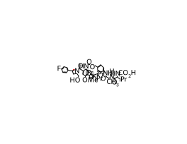 COc1cc(C(=O)N2C=C(c3ccc(F)cc3)CC2CO)c(NC(=O)OCc2ccc(NC(=O)C(C)NC(=O)C(NC(=O)O)C(C)C)cc2)cc1O[Si](C(C)C)(C(C)C)C(C)C